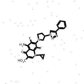 Nc1c(F)c(N2CCC(n3cc(-c4ccccc4)nn3)C2)c(F)c2c1c(=O)c(C(=O)O)cn2C1CC1